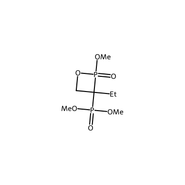 CCC1(P(=O)(OC)OC)COP1(=O)OC